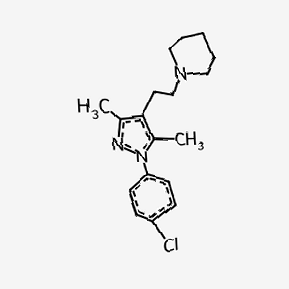 Cc1nn(-c2ccc(Cl)cc2)c(C)c1CCN1CCCCC1